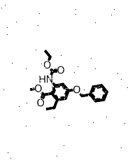 CCOC(=O)Nc1cc(OCc2ccccc2)cc(CC)c1C(=O)OC